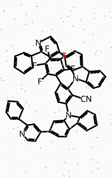 N#Cc1c(-n2c3ccccc3c3ccc(-c4ccnc(-c5ccccc5)c4)cc32)ccc(-c2c(F)c(F)c(F)c(F)c2F)c1-n1c2ccccc2c2ccc(-c3ccnc(-c4ccccc4)c3)cc21